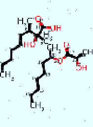 CCCCCCC(C)C(C)(O)C(=O)O.CCCCCCC(C)OC(=O)C(C)O